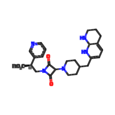 CCOC(=O)[C@H](CN1C(=O)C(N2CCC(CC3=CC=C4CCCNC4N3)CC2)C1=O)c1cccnc1